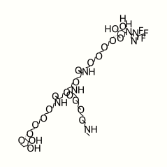 CCNCCOCCOCCOCC(=O)NC(COCCC(=O)NCCOCCOCCOCCOC[C@H]1OC[C@H](Nc2cncc(C(F)(F)F)n2)[C@@H](O)[C@H]1O)COCCC(=O)NCCOCCOCCOCCOC[C@H]1OCC[C@@H](O)[C@H]1O